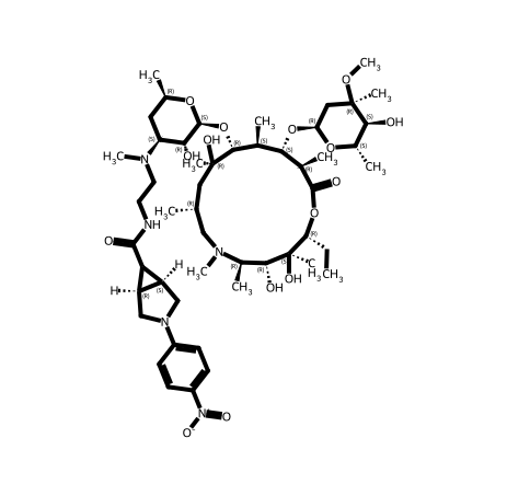 CC[C@H]1OC(=O)[C@H](C)[C@@H](O[C@H]2C[C@@](C)(OC)[C@@H](O)[C@H](C)O2)[C@H](C)[C@@H](O[C@@H]2O[C@H](C)C[C@H](N(C)CCNC(=O)C3[C@H]4CN(c5ccc([N+](=O)[O-])cc5)C[C@@H]34)[C@H]2O)[C@](C)(O)C[C@@H](C)CN(C)[C@H](C)[C@@H](O)[C@]1(C)O